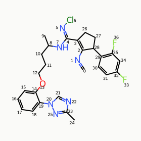 C=NC1=C(/C(=N\Cl)NC(C)CCCOc2ccccc2-n2cnc(C)n2)CCC1c1ccc(F)cc1F